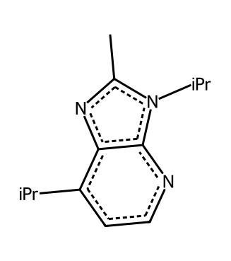 Cc1nc2c(C(C)C)ccnc2n1C(C)C